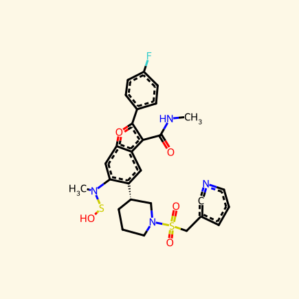 CNC(=O)c1c(-c2ccc(F)cc2)oc2cc(N(C)SO)c([C@H]3CCCN(S(=O)(=O)Cc4cccnc4)C3)cc12